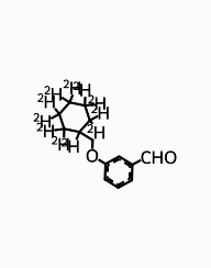 [2H]C1([2H])C([2H])([2H])C([2H])([2H])C([2H])(COc2cccc(C=O)c2)C([2H])([2H])C1([2H])[2H]